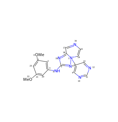 COc1cc(NC2=N[N+]3(c4cncnc4)C=CN=CC3=N2)cc(OC)c1